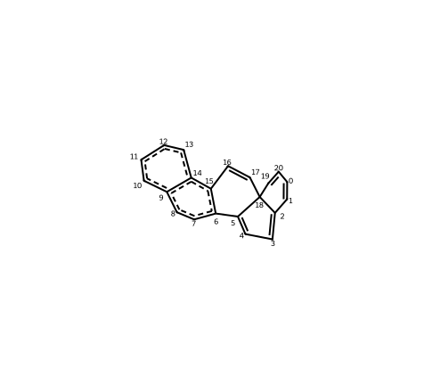 C1=CC2=CC=C3c4ccc5ccccc5c4C=CC23C=C1